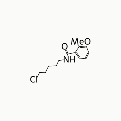 COc1ccccc1C(=O)NCCCCCCl